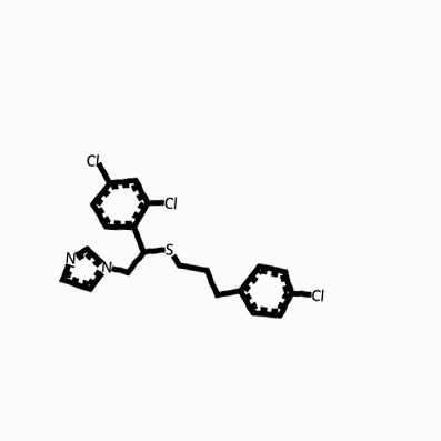 Clc1ccc(CCCSC(Cn2ccnc2)c2ccc(Cl)cc2Cl)cc1